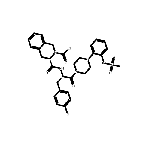 CS(=O)(=O)Nc1ccccc1N1CCN(C(=O)[C@@H](Cc2ccc(Cl)cc2)NC(=O)[C@H]2Cc3ccccc3CN2C(=O)O)CC1